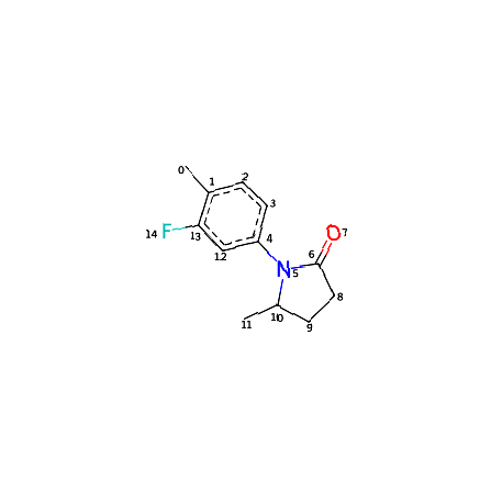 Cc1ccc(N2C(=O)CCC2C)cc1F